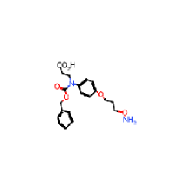 NOCCCOc1ccc(N(CCC(=O)O)C(=O)OCc2ccccc2)cc1